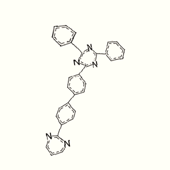 c1ccc(-c2nc(-c3ccccc3)nc(-c3ccc(-c4ccc(-c5ncccn5)cc4)cc3)n2)cc1